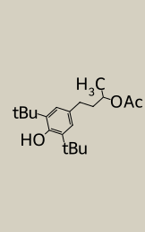 CC(=O)OC(C)CCc1cc(C(C)(C)C)c(O)c(C(C)(C)C)c1